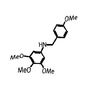 COc1ccc(CNc2cc(OC)c(OC)c(OC)c2)cc1